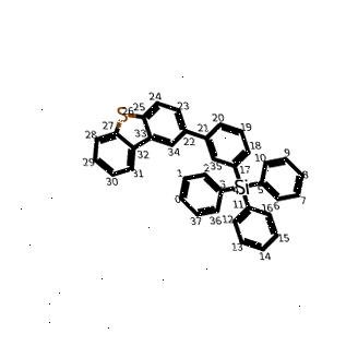 c1ccc([Si](c2ccccc2)(c2ccccc2)c2cccc(-c3ccc4sc5ccccc5c4c3)c2)cc1